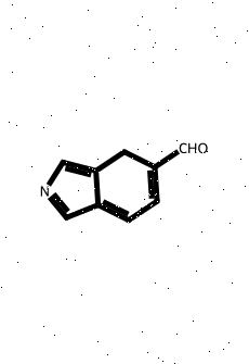 O=CC1=CC=C2C=NC=C2C1